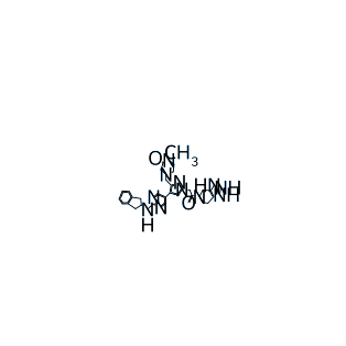 CN1CCN(Cc2nn(CC(=O)N3CCC4=C(C3)NNN4)cc2-c2cnc(NC3Cc4ccccc4C3)nc2)CC1=O